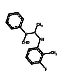 Cc1c(F)cccc1NC(C)N(C=O)c1ccccc1